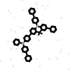 CC1(C)c2cc(-c3ccccc3)ccc2N(c2ccc(-c3ccccc3)cc2)c2ccc(-c3ccc(N(c4ccccc4)c4ccc(-c5ccccc5)cc4)cc3)cc21